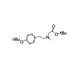 CCCCOc1ccc(CCN(C)CC(=O)OC(C)(C)C)cc1